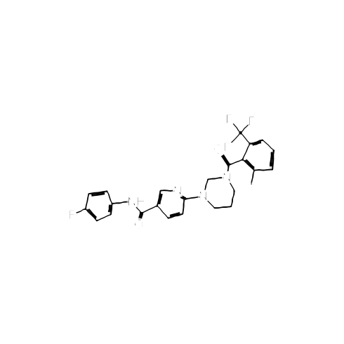 O=C(Nc1ccc(F)cc1)c1ccc(N2CCCN(C(=O)c3c(F)cccc3C(F)(F)F)C2)nc1